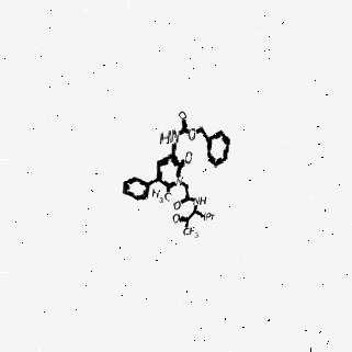 Cc1c(-c2ccccc2)cc(NC(=O)OCc2ccccc2)c(=O)n1CC(=O)NC(C(=O)C(F)(F)F)C(C)C